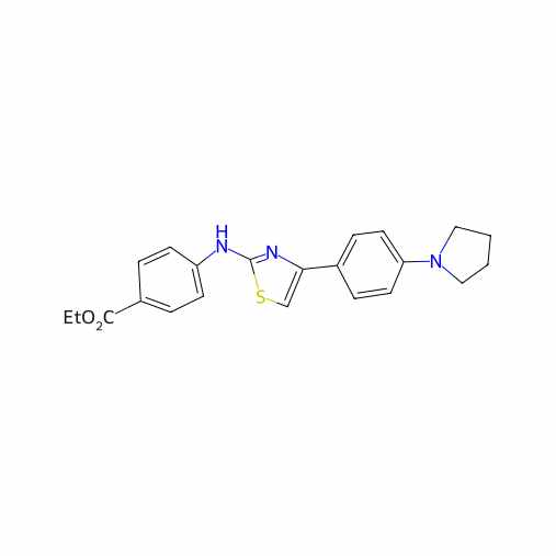 CCOC(=O)c1ccc(Nc2nc(-c3ccc(N4CCCC4)cc3)cs2)cc1